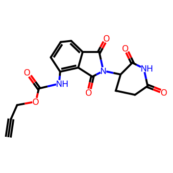 C#CCOC(=O)Nc1cccc2c1C(=O)N(C1CCC(=O)NC1=O)C2=O